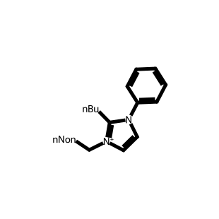 CCCCCCCCCC[n+]1ccn(-c2ccccc2)c1CCCC